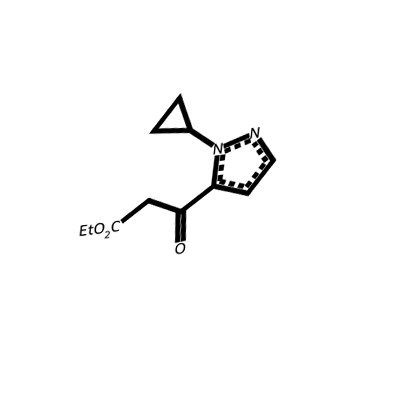 CCOC(=O)CC(=O)c1ccnn1C1CC1